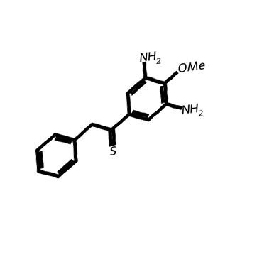 COc1c(N)cc(C(=S)Cc2ccccc2)cc1N